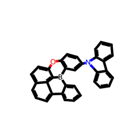 c1ccc2c(c1)B1c3cc(-n4c5ccccc5c5ccccc54)ccc3Oc3ccc4cccc-2c4c31